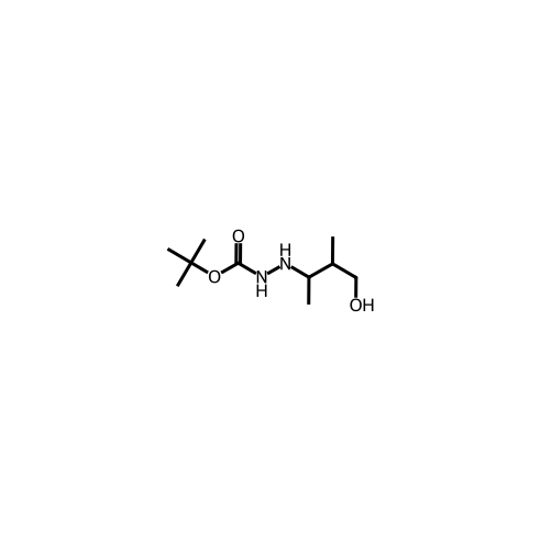 CC(CO)C(C)NNC(=O)OC(C)(C)C